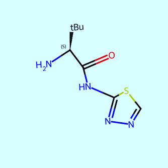 CC(C)(C)[C@H](N)C(=O)Nc1nncs1